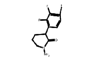 NN1CCCC(c2ccc(F)c(F)c2F)C1=O